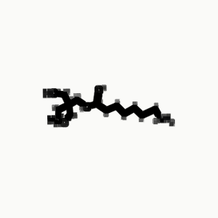 NCCCCCCC(=O)OCC(CO)(CO)CO